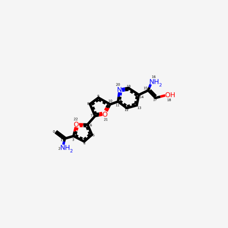 C=C(N)c1ccc(-c2ccc(-c3ccc(C(N)=CO)cn3)o2)o1